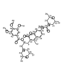 COc1cc(C(=O)OC(Cc2c(C)c3ccc(NC(=O)N4CC(C)OC(C)C4)cc3oc2=O)CN2CC(C)OC(C)C2)cc(OC)c1OC